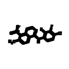 Cc1ccc2c(Nc3ccc(Cl)c(F)c3F)nccc2c1[N+](=O)[O-]